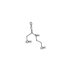 O=C=C(CO)NCCO